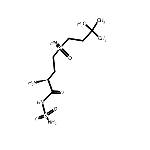 CC(C)(C)CCS(=N)(=O)CC[C@H](N)C(=O)NS(N)(=O)=O